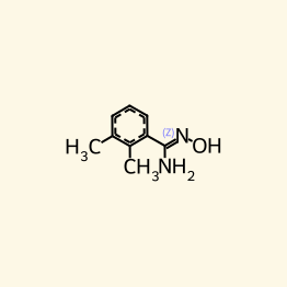 Cc1cccc(/C(N)=N/O)c1C